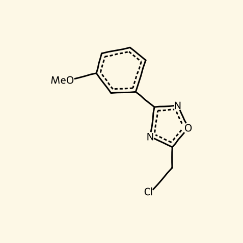 COc1cccc(-c2noc(CCl)n2)c1